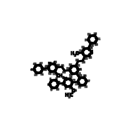 COc1cc(-c2ccccc2)ncc1-c1ccccc1-c1cc(CCc2cnc(-c3ccccc3)cc2C)cc(CCc2cnc(-c3ccccc3)cc2C)c1